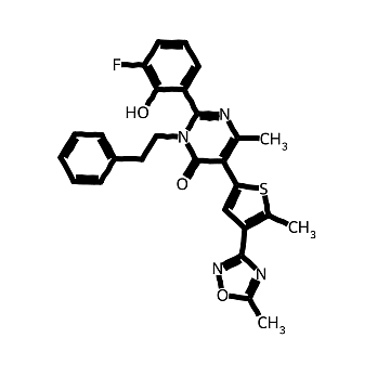 Cc1nc(-c2cc(-c3c(C)nc(-c4cccc(F)c4O)n(CCc4ccccc4)c3=O)sc2C)no1